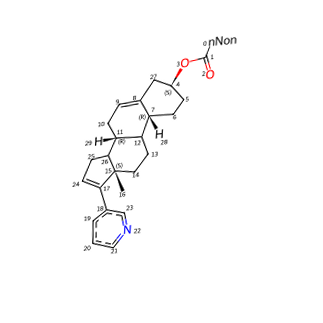 CCCCCCCCCC(=O)O[C@H]1CC[C@H]2C(=CC[C@@H]3C2CC[C@]2(C)C(c4cccnc4)=CCC32)C1